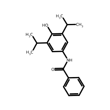 CC(C)c1cc(NC(=O)c2ccccc2)cc(C(C)C)c1O